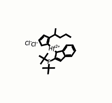 CCCC(C)C1=[C]([Hf+2][CH]2C(P(C(C)(C)C)C(C)(C)C)=Cc3ccccc32)CC=C1.[Cl-].[Cl-]